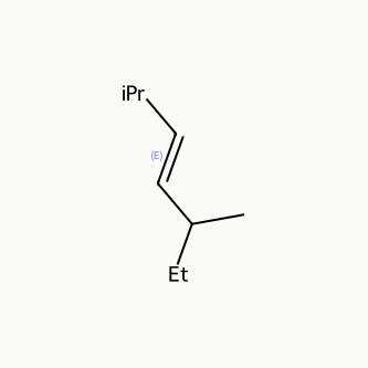 CCC(C)/C=C/C(C)C